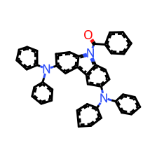 O=C(c1ccccc1)n1c2ccc(N(c3ccccc3)c3ccccc3)cc2c2cc(N(c3ccccc3)c3ccccc3)ccc21